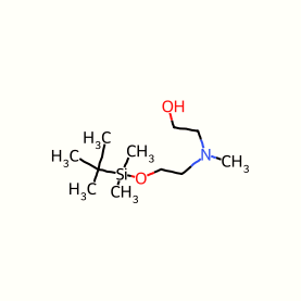 CN(CCO)CCO[Si](C)(C)C(C)(C)C